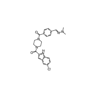 CN(C)N=Cc1ccc(C(=O)N2CCN(C(=O)c3cc4cc(Cl)ccc4[nH]3)CC2)cc1